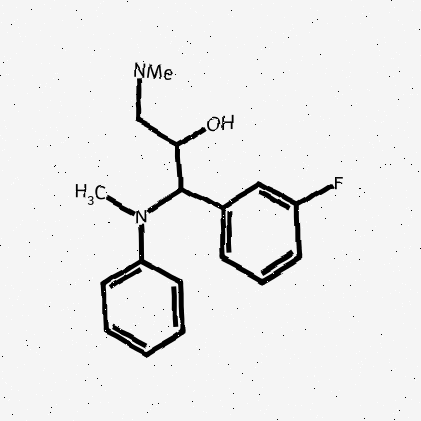 CNCC(O)C(c1cccc(F)c1)N(C)c1ccccc1